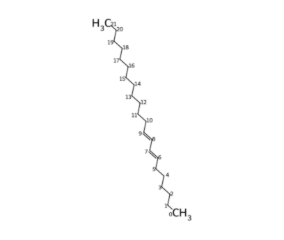 CCCCCCC=CC=CCCCCCCCCCCCC